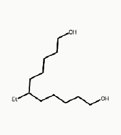 CCC(CCCCCO)CCCCCO